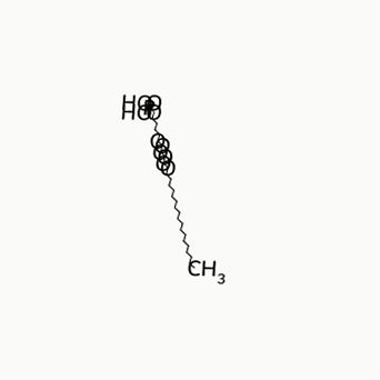 CCCCCCCCCCCCCCCCCCOOOOOOCCCCOP(=O)(O)O